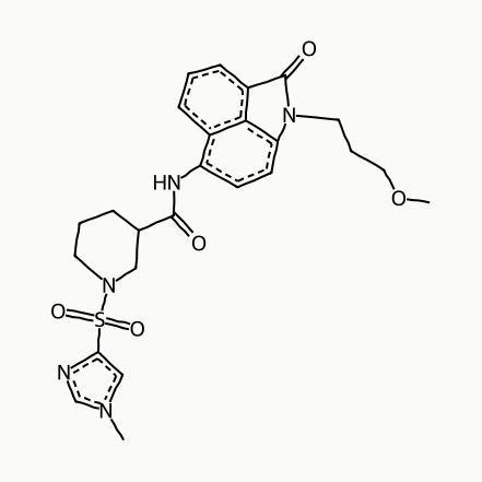 COCCCN1C(=O)c2cccc3c(NC(=O)C4CCCN(S(=O)(=O)c5cn(C)cn5)C4)ccc1c23